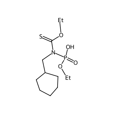 CCOC(=S)N(CC1CCCCC1)P(=O)(O)OCC